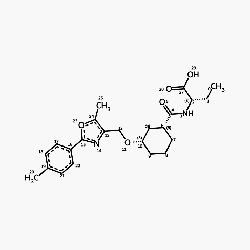 CC[C@H](NC(=O)[C@@H]1CCC[C@H](OCc2nc(-c3ccc(C)cc3)oc2C)C1)C(=O)O